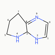 C1=CNC2NCCCC2=N1